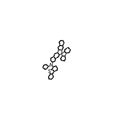 c1ccc(N(c2ccc3cc4c(cc3c2)C2(c3ccccc3-c3ccccc32)c2cc3ccccc3cc2-4)c2cccc3c2sc2ccccc23)cc1